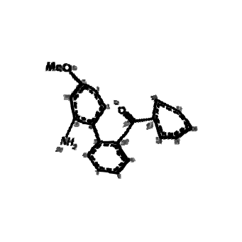 COc1ccc(-c2ccccc2C(=O)c2ccccc2)c(N)c1